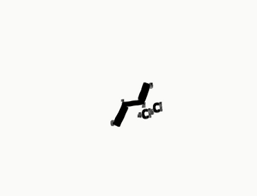 C=CC=C.[C].[C]